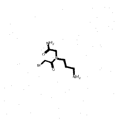 NCCCN(CC(N)=O)C(=O)CBr